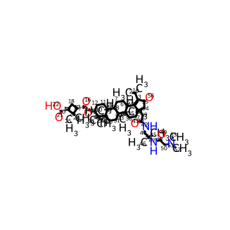 CC(C)C1=C2[C@H]3CC[C@@H]4[C@@]5(C)CC[C@H](OC(=O)[C@H]6C[C@@H](C(=O)O)C6(C)C)C(C)(C)[C@@H]5CC[C@@]4(C)[C@]3(C)CC[C@@]2(CC(=O)NCC(C)(C)NC(=O)CN(C)C)CC1=O